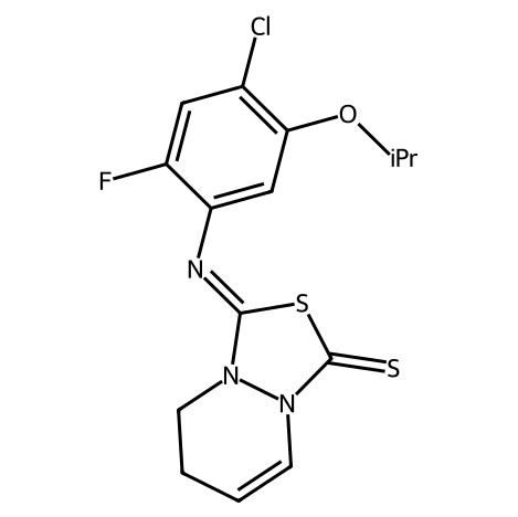 CC(C)Oc1cc(N=c2sc(=S)n3n2CCC=C3)c(F)cc1Cl